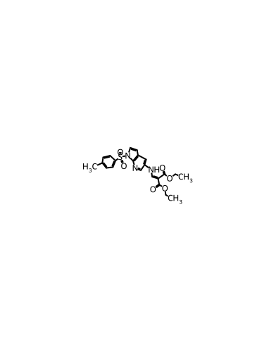 CCOC(=O)C(=CNc1cnc2c(ccn2S(=O)(=O)c2ccc(C)cc2)c1)C(=O)OCC